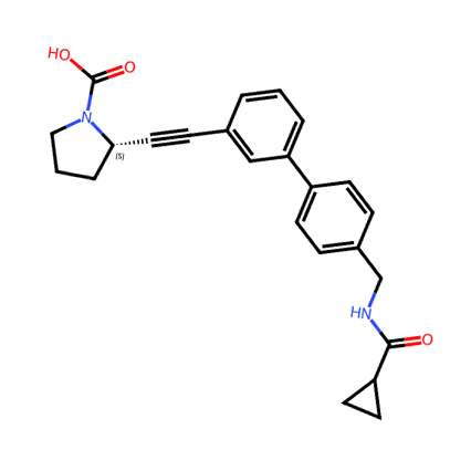 O=C(NCc1ccc(-c2cccc(C#C[C@@H]3CCCN3C(=O)O)c2)cc1)C1CC1